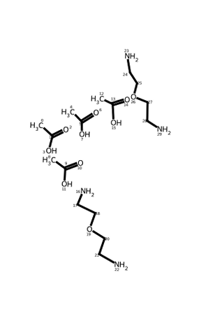 CC(=O)O.CC(=O)O.CC(=O)O.CC(=O)O.NCCOCCN.NCCOCCN